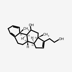 C[C@]12C=CCC=C1CC[C@@H]1[C@@H]2C(O)C[C@]2(C)C(CCO)=CC[C@@H]12